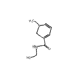 CN1C=CC=C(C(=O)NCO)C1